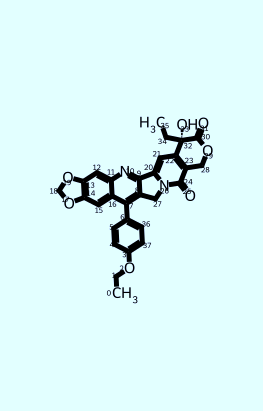 CCOc1ccc(-c2c3c(nc4cc5c(cc24)OCO5)-c2cc4c(c(=O)n2C3)COC(=O)[C@]4(O)CC)cc1